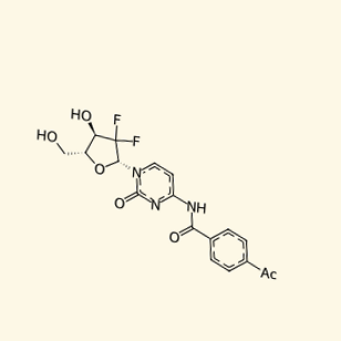 CC(=O)c1ccc(C(=O)Nc2ccn([C@@H]3O[C@H](CO)[C@@H](O)C3(F)F)c(=O)n2)cc1